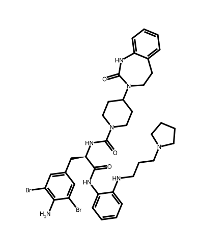 Nc1c(Br)cc(C[C@@H](NC(=O)N2CCC(N3CCc4ccccc4NC3=O)CC2)C(=O)Nc2ccccc2NCCCN2CCCC2)cc1Br